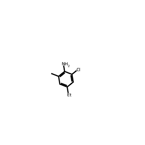 CCc1cc(C)c(N)c(Cl)c1